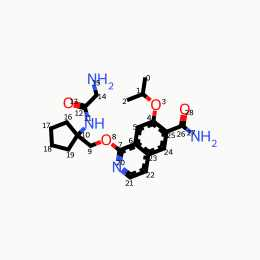 CC(C)Oc1cc2c(OCC3(NC(=O)CN)CCCC3)nccc2cc1C(N)=O